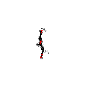 C=CC(=O)OCCCCOc1ccc(C(=O)Oc2ccc(OC(=O)c3ccc(C(=C)CCCOCCOO)cc3)c3sc(=S)sc23)cc1